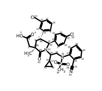 C[C@]1(CC(=O)O)C[C@H](c2cccc(Cl)c2)[C@@H](c2ccc(Cl)cc2)N(C(CN(c2ccccc2C#N)S(C)(=O)=O)C2CC2)C1=O